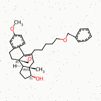 COc1ccc2c(c1)CC[C@]1(C=O)C2=C(CCCCCOCc2ccccc2)C[C@@]2(C)[C@H]1CC[C@@H]2O